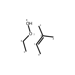 CC=C(C)C.CCOO